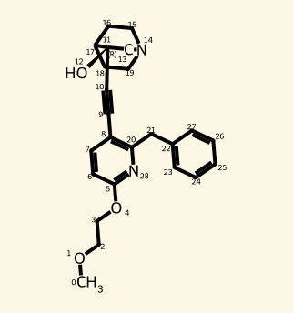 COCCOc1ccc(C#C[C@@]2(O)CN3CCC2CC3)c(Cc2ccccc2)n1